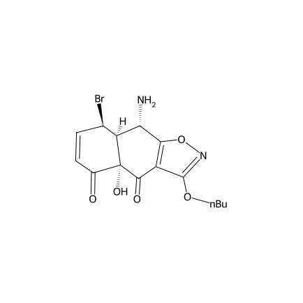 CCCCOc1noc2c1C(=O)[C@@]1(O)C(=O)C=C[C@@H](Br)[C@H]1[C@@H]2N